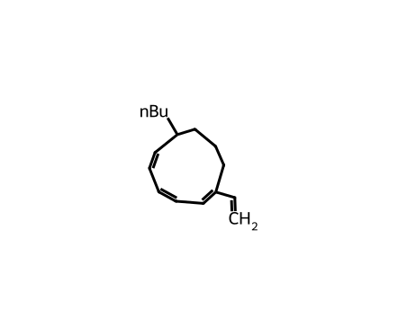 C=C/C1=C/C=C\C=C/C(CCCC)CCC1